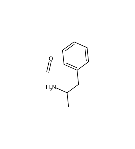 C=O.CC(N)Cc1ccccc1